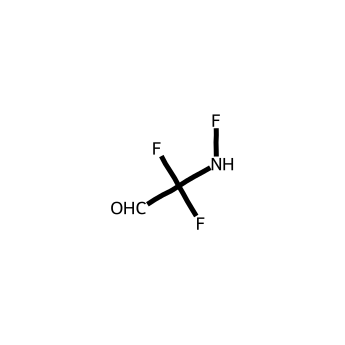 O=CC(F)(F)NF